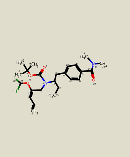 C=C/C=C(\CN(C(=O)OC(C)(C)C)C(CC)Cc1ccc(C(=O)N(C)C)cc1)OC(F)F